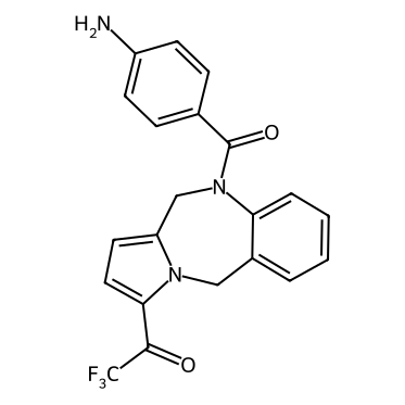 Nc1ccc(C(=O)N2Cc3ccc(C(=O)C(F)(F)F)n3Cc3ccccc32)cc1